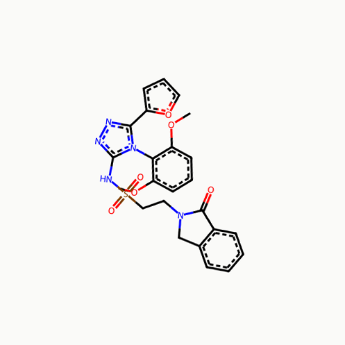 COc1cccc(OC)c1-n1c(NS(=O)(=O)CCN2Cc3ccccc3C2=O)nnc1-c1ccco1